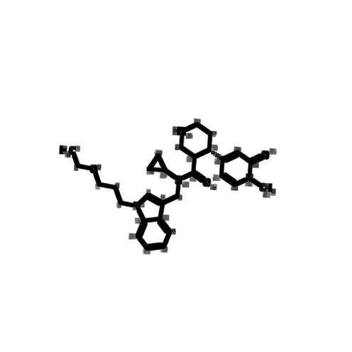 CCOCCCn1cc(CN(C(=O)C2CNCC[C@@H]2c2ccn(C)c(=O)c2)C2CC2)c2ccccc21